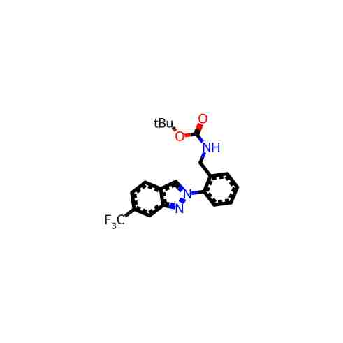 CC(C)(C)OC(=O)NCc1ccccc1-n1cc2ccc(C(F)(F)F)cc2n1